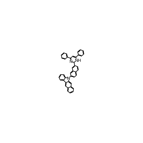 C1=C(c2ccccc2)NC(c2ccc3ccc(-n4c5ccccc5c5cc6ccccc6cc54)cc3c2)N=C1c1ccccc1